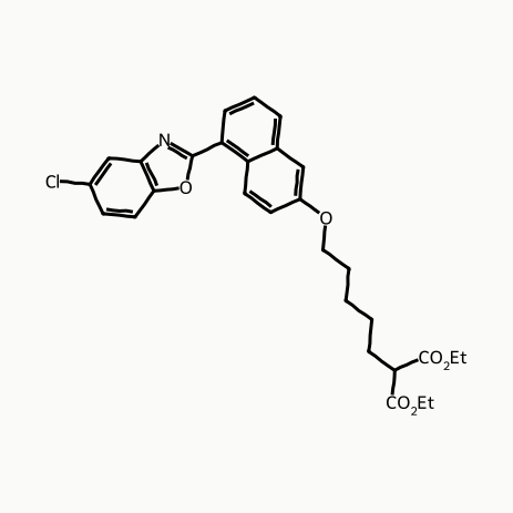 CCOC(=O)C(CCCCCOc1ccc2c(-c3nc4cc(Cl)ccc4o3)cccc2c1)C(=O)OCC